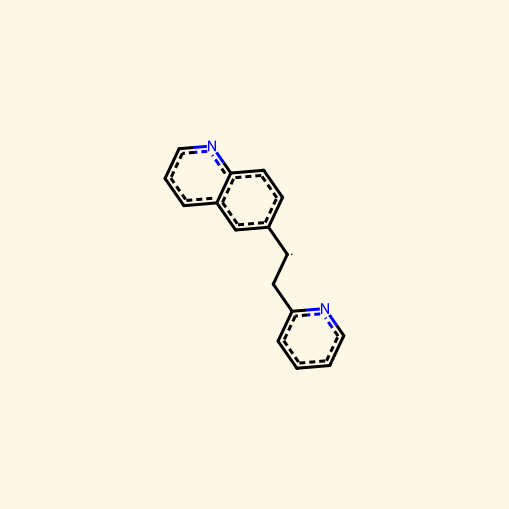 [CH](Cc1ccccn1)c1ccc2ncccc2c1